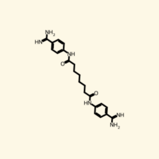 N=C(N)c1ccc(NC(=O)CCCCCCC(=O)Nc2ccc(C(=N)N)cc2)cc1